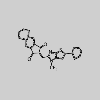 O=C1C(=Cc2nc3sc(-c4ccccc4)cc3n2C(F)(F)F)C(=O)c2cc3ccccc3cc21